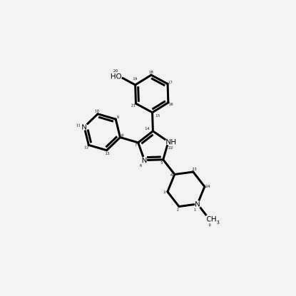 CN1CCC(c2nc(-c3ccncc3)c(-c3cccc(O)c3)[nH]2)CC1